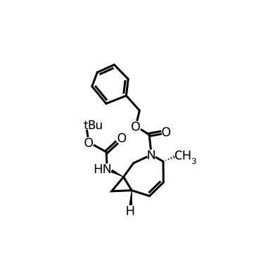 C[C@@H]1C=C[C@@H]2C[C@]2(NC(=O)OC(C)(C)C)CN1C(=O)OCc1ccccc1